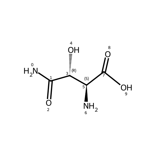 NC(=O)[C@H](O)[C@H](N)C(=O)O